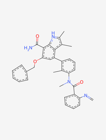 C=Nc1ccccc1C(=O)N(C)c1cccc(-c2cc(OCc3ccccc3)c(C(N)=O)c3[nH]c(C)c(C)c23)c1C